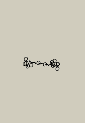 O=C(CCOCCOCCC(=O)ON1C(=O)CCC1=O)CN1C(=O)CCC1=O